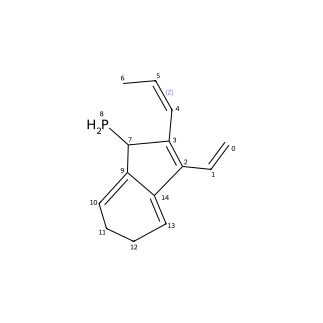 C=CC1=C(/C=C\C)C(P)C2=CCCC=C21